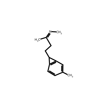 C/N=C(/C)CCC1c2ccc(C)cc21